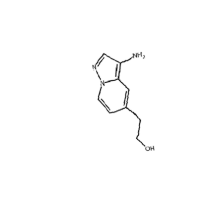 Nc1cnn2ccc(CCO)cc12